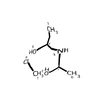 CC(O)NC(C)O.CCl